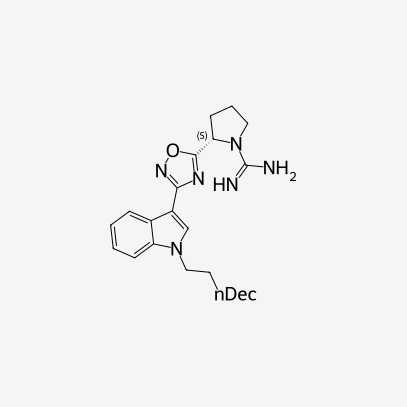 CCCCCCCCCCCCn1cc(-c2noc([C@@H]3CCCN3C(=N)N)n2)c2ccccc21